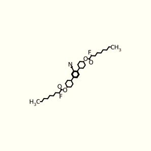 CCCCCCC[C@H](F)C(=O)OC1CCC(c2ccc(C3CCC(OC(=O)[C@@H](F)CCCCCCC)CC3)c(C#N)c2)CC1